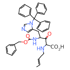 CC=CCNC(C(=O)O)C(=O)C(Cc1cncn1C(c1ccccc1)(c1ccccc1)c1ccccc1)NC(=O)OCc1ccccc1